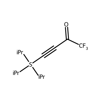 CC(C)S(C#CC(=O)C(F)(F)F)(C(C)C)C(C)C